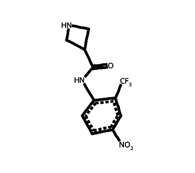 O=C(Nc1ccc([N+](=O)[O-])cc1C(F)(F)F)C1CNC1